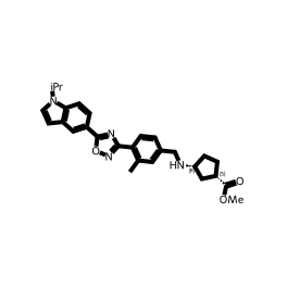 COC(=O)[C@H]1CC[C@@H](NCc2ccc(-c3noc(-c4ccc5c(ccn5C(C)C)c4)n3)c(C)c2)C1